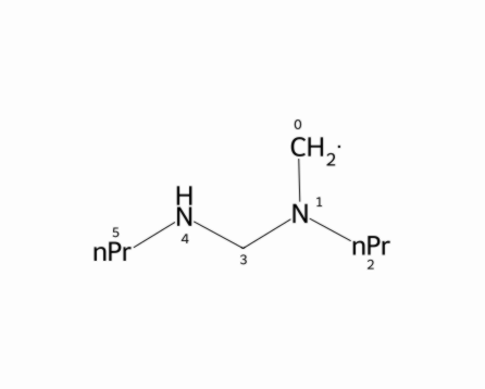 [CH2]N(CCC)CNCCC